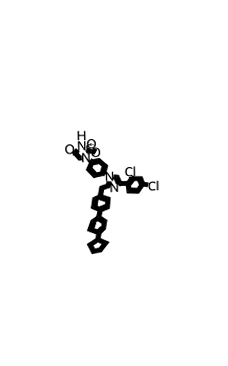 O=C1CN(c2ccc(-n3cc(-c4ccc(Cl)cc4Cl)nc3Cc3ccc(-c4ccc(C5CCCC5)cc4)cc3)cc2)S(=O)(=O)N1